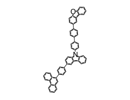 c1ccc2c(c1)cc(-c1ccc(-c3ccc4c(c3)c3ccccc3n4-c3ccc(-c4ccc(-c5ccc6oc7ccccc7c6c5)cc4)cc3)cc1)c1ccccc12